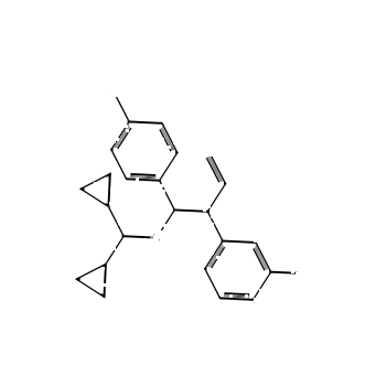 C=CC(c1cccc(Cl)c1)C(NC(C1CC1)C1CC1)c1ccc(Cl)cc1